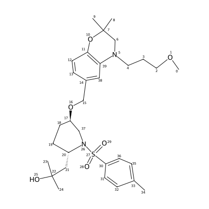 COCCCN1CC(C)(C)Oc2ccc(CO[C@@H]3CC[C@@H](CC(C)(C)O)N(S(=O)(=O)c4ccc(C)cc4)C3)cc21